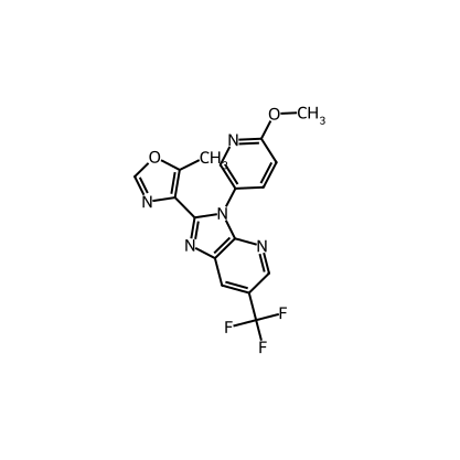 COc1ccc(-n2c(-c3ncoc3C)nc3cc(C(F)(F)F)cnc32)cn1